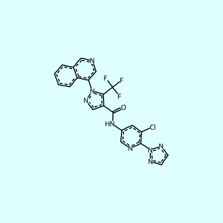 O=C(Nc1cnc(-n2nccn2)c(Cl)c1)c1cnn(-c2cncc3ccccc23)c1C(F)(F)F